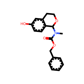 CN(C(=O)OCc1ccccc1)C1OCCc2cc(O)ccc21